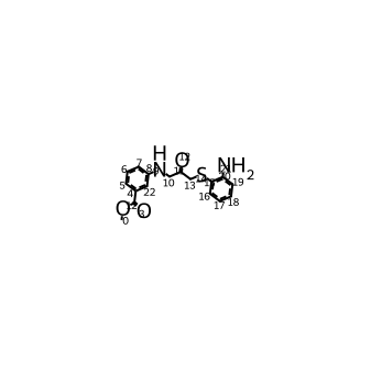 COC(=O)c1cccc(NCC(=O)CSc2ccccc2N)c1